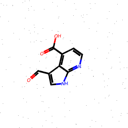 O=Cc1c[nH]c2nccc(C(=O)O)c12